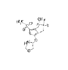 CS(=O)(=O)c1sc(OC2COCN2)c2c1[C@H](O)C(F)(F)C2